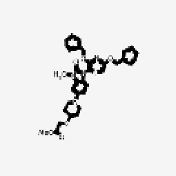 COC(=O)COC1CCN(c2ccc3c(c2)n(C)c(=O)n3-c2ccc(OCc3ccccc3)nc2OCc2ccccc2)CC1